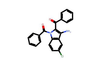 Nc1c(C(=O)c2ccccc2)n(C(=O)c2ccccc2)c2ccc(Cl)cc12